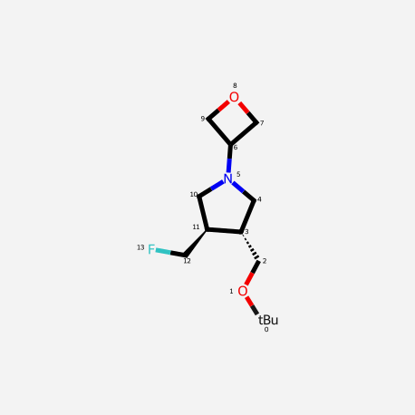 CC(C)(C)OC[C@H]1CN(C2COC2)C[C@@H]1CF